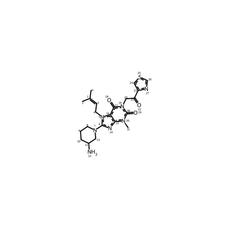 CC(C)=CCn1c(N2CCCC(N)C2)nc2c1c(=O)n(CC(=O)c1cscn1)c(=O)n2C